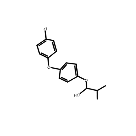 CC(C)C(O)Oc1ccc(Oc2ccc(Cl)cc2)cc1